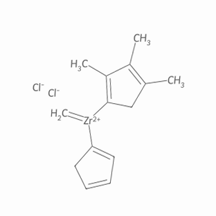 [CH2]=[Zr+2]([C]1=CC=CC1)[C]1=C(C)C(C)=C(C)C1.[Cl-].[Cl-]